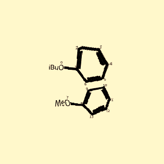 CC(C)COc1ccccc1.COc1ccccc1